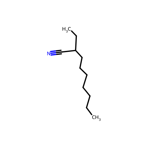 CCCCCCCC(C#N)CC